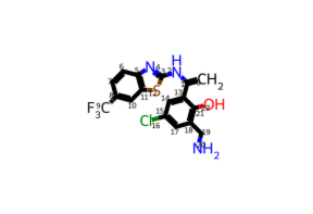 C=C(Nc1nc2ccc(C(F)(F)F)cc2s1)c1cc(Cl)cc(CN)c1O